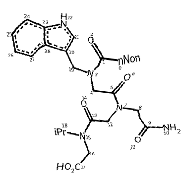 CCCCCCCCCC(=O)N(CC(=O)N(CC(N)=O)CC(=O)N(CC(=O)O)C(C)C)Cc1c[nH]c2ccccc12